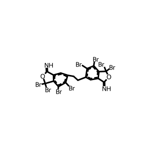 N=C1OC(Br)(Br)c2c1cc(CCc1cc3c(c(Br)c1Br)C(Br)(Br)OC3=N)c(Br)c2Br